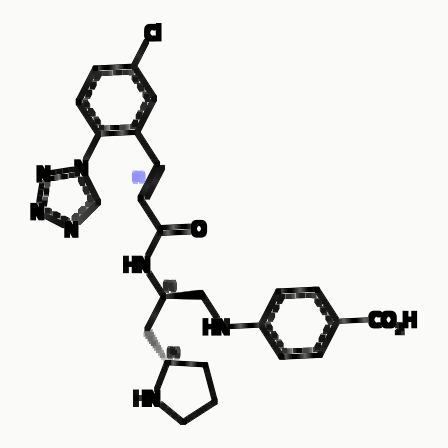 O=C(/C=C/c1cc(Cl)ccc1-n1cnnn1)N[C@@H](CNc1ccc(C(=O)O)cc1)C[C@@H]1CCCN1